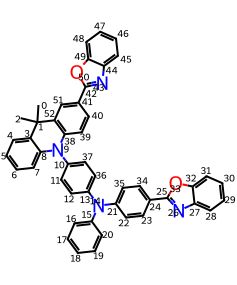 CC1(C)c2ccccc2N(c2ccc(N(c3ccccc3)c3ccc(-c4nc5ccccc5o4)cc3)cc2)c2ccc(-c3nc4ccccc4o3)cc21